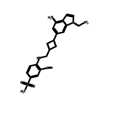 COc1cc(S(C)(=O)=O)ccc1NCC1CC(c2cc(N)c3ccn(CC(F)(F)F)c3c2)C1